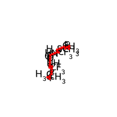 CC(C)(CCCCSc1ccc(CNCCCO[PH](=O)OCCCNCc2ccc(SCCCCC(C)(C)c3ccccc3F)c(C(F)(F)F)c2)cc1C(F)(F)F)c1ccccc1F